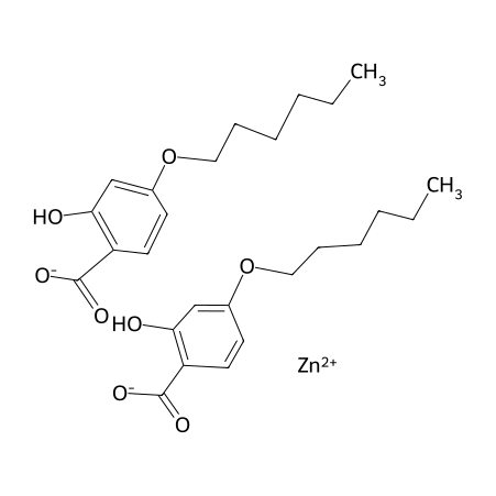 CCCCCCOc1ccc(C(=O)[O-])c(O)c1.CCCCCCOc1ccc(C(=O)[O-])c(O)c1.[Zn+2]